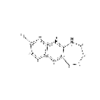 Ic1ccc2cc3c(nc2c1)NCCCC3